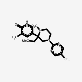 CCOC(=O)N1CCN(c2ncc(C(F)(F)F)cn2)CC1(COC)c1c[nH]c(=O)c(C(F)(F)F)c1